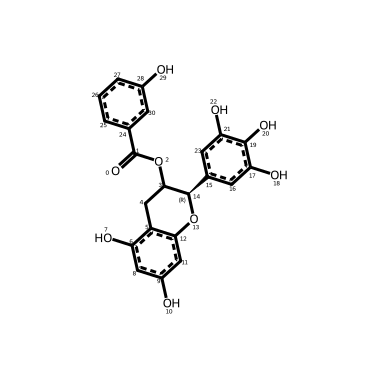 O=C(OC1Cc2c(O)cc(O)cc2O[C@@H]1c1cc(O)c(O)c(O)c1)c1cccc(O)c1